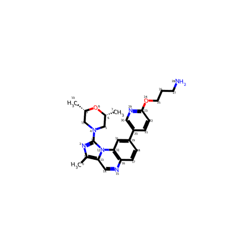 Cc1nc(N2C[C@@H](C)O[C@@H](C)C2)n2c1cnc1ccc(-c3ccc(OCCCN)nc3)cc12